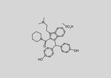 CN(C)CCn1c(C(=O)N2CCCCC2)c(C(c2ccc(O)cc2)c2ccc(O)cc2)c2ccccc21.CS(=O)(=O)O